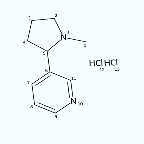 CN1CCCC1c1cccnc1.Cl.Cl